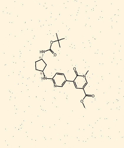 COC(=O)c1cc(-c2ccc(N[C@H]3CC[C@H](NC(=O)OC(C)(C)C)C3)nc2)c(=O)n(C)c1